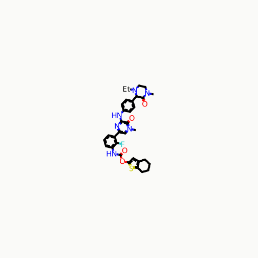 CCN1CCN(C)C(=O)C1c1ccc(Nc2nc(-c3cccc(NC(=O)Oc4cc5c(s4)CCCC5)c3F)cn(C)c2=O)cc1